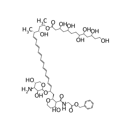 C[C@@H](C[C@H](O)[C@@H](C)/C=C/C=C/C=C/C=C/C=C/C=C/C=C/C(C[C@@H]1OCC[C@H](O)C1C(=O)NCC(=O)OCc1ccccc1)O[C@@H]1OC[C@@H](O)[C@H](N)[C@@H]1O)OC(=O)CC(O)CC(O)CCC(O)C(O)CC(O)CCO